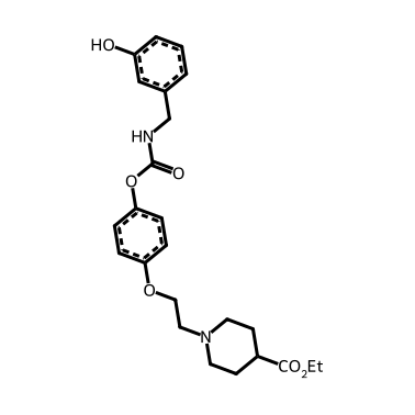 CCOC(=O)C1CCN(CCOc2ccc(OC(=O)NCc3cccc(O)c3)cc2)CC1